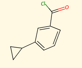 O=C(Cl)c1cccc(C2CC2)c1